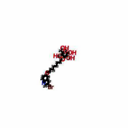 OC[C@H]1OC(O)[C@H](O)[C@@H](OCCCCCCCCOc2ccc3ncc(Br)cc3c2)[C@@H]1O